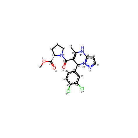 COC(=O)[C@@H]1CCCN1C(=O)C1=C(C)Nc2ccnn2C1c1ccc(Cl)c(Cl)c1